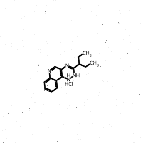 CCC(CC)C1=Nc2cnc3ccccc3c2NN1.Cl